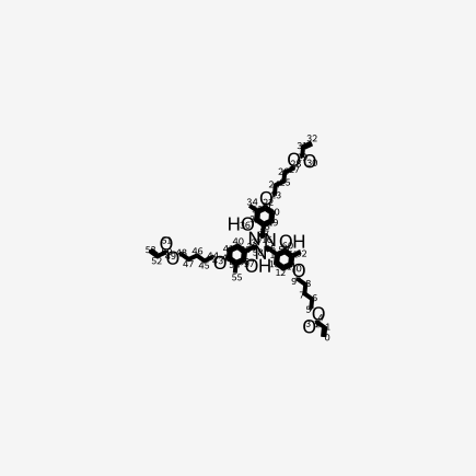 C=CC(=O)OCCCCCOc1ccc(-c2nc(-c3ccc(OCCCCCOC(=O)C=C)c(C)c3O)nc(-c3ccc(OCCCCCOC(=O)C=C)c(C)c3O)n2)c(O)c1C